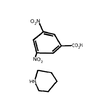 C1CCNCC1.O=C(O)c1cc([N+](=O)[O-])cc([N+](=O)[O-])c1